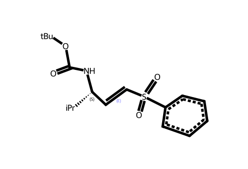 CC(C)[C@@H](/C=C/S(=O)(=O)c1ccccc1)NC(=O)OC(C)(C)C